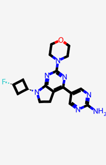 Nc1ncc(-c2nc(N3CCOCC3)nc3c2CCN3[C@H]2C[C@@H](F)C2)cn1